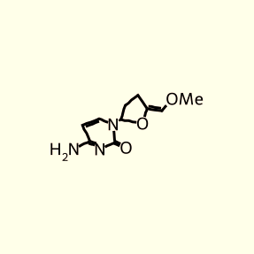 CO/C=C1\CC[C@@H](n2ccc(N)nc2=O)O1